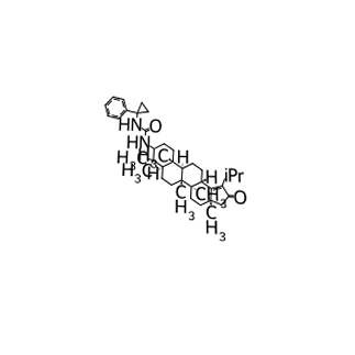 CC(C)C1=C2[C@H]3CC[C@@H]4[C@@]5(C)CCC(NC(=O)NC6(c7ccccc7)CC6)C(C)(C)[C@@H]5CC[C@@]4(C)[C@]3(C)CC[C@@]2(C)CC1=O